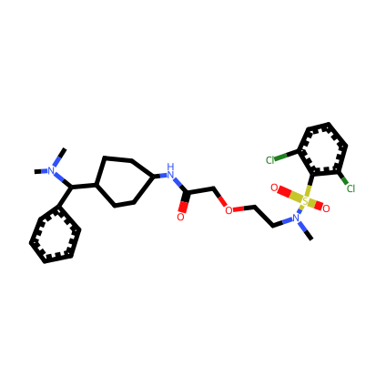 CN(C)C(c1ccccc1)C1CCC(NC(=O)COCCN(C)S(=O)(=O)c2c(Cl)cccc2Cl)CC1